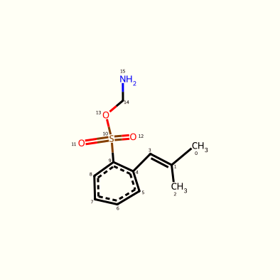 CC(C)=Cc1ccccc1S(=O)(=O)OCN